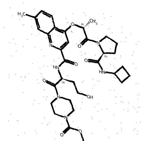 CCCCOC(=O)N1CCN(C(=O)[C@H](CCO)NC(=O)c2cc(O[C@H](C)C(=O)N3CCC[C@H]3C(=O)NC3CCC3)c3ccc(C)cc3n2)CC1